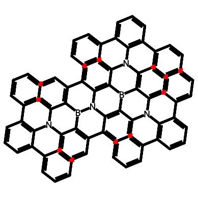 c1ccc(-c2cccc(-c3ccccc3)c2N2c3cccc4c3B3c5c(cccc52)-c2ccc5c6c2N3c2c-4ccc3c2B6c2c(cccc2N5c2c(-c4ccccc4)cccc2-c2ccccc2)N3c2c(-c3ccccc3)cccc2-c2ccccc2)cc1